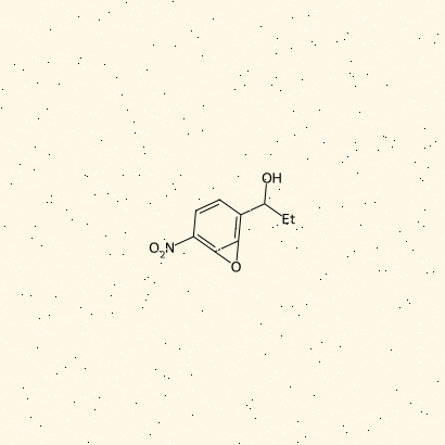 CCC(O)c1ccc([N+](=O)[O-])c2c1O2